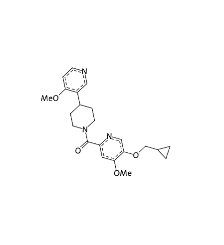 COc1cc(C(=O)N2CCC(c3cnccc3OC)CC2)ncc1OCC1CC1